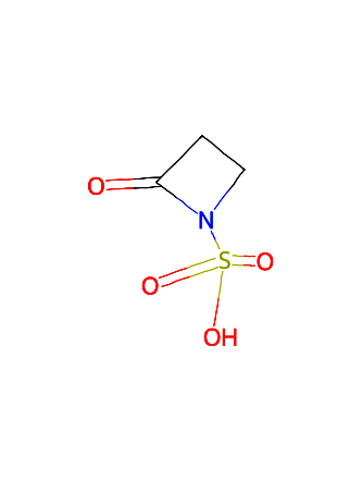 O=C1CCN1S(=O)(=O)O